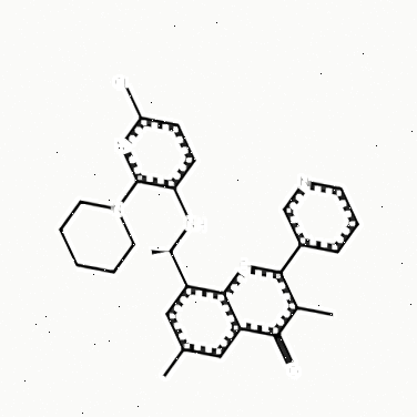 Cc1cc([C@@H](C)Nc2ccc(Cl)nc2N2CCCCC2)c2oc(-c3cccnc3)c(C)c(=O)c2c1